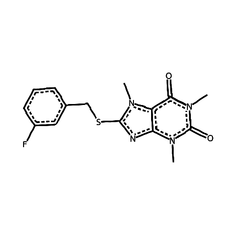 Cn1c(=O)c2c(nc(SCc3cccc(F)c3)n2C)n(C)c1=O